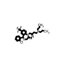 CCCN(CCC)CCC1=NN=C2CN=C(c3ccccc3Cl)c3cc(C(F)(F)F)ccc3N2C1